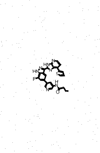 CCCC(=O)Nc1cncc(-c2cc(F)c3[nH]nc(-c4nc5c(-c6cccs6)ccnc5[nH]4)c3c2)c1